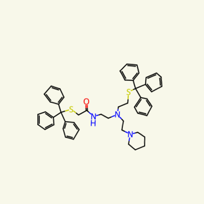 O=C(CSC(c1ccccc1)(c1ccccc1)c1ccccc1)NCCN(CCSC(c1ccccc1)(c1ccccc1)c1ccccc1)CCN1CCCCC1